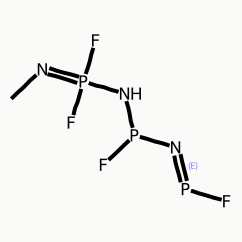 CN=P(F)(F)NP(F)/N=P/F